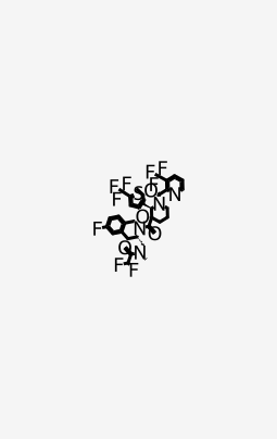 CCC[C@H]1N(C(=O)c2ncccc2C(F)(F)F)CCC[C@@]1(Oc1csc(C(F)(F)F)c1)C(=O)N1Cc2ccc(F)cc2C[C@H]1CN(C)C(=O)C(F)F